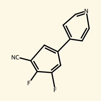 N#Cc1cc(-c2ccncc2)cc(F)c1F